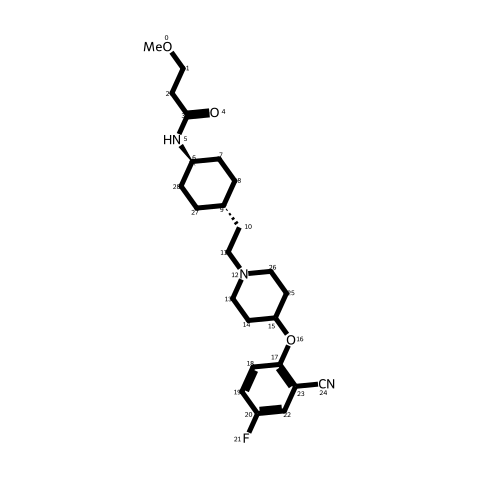 COCCC(=O)N[C@H]1CC[C@H](CCN2CCC(Oc3ccc(F)cc3C#N)CC2)CC1